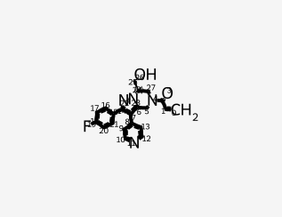 C=CC(=O)N1Cc2c(-c3ccncc3)c(-c3ccc(F)cc3)nn2[C@@H](CO)C1